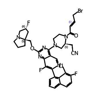 N#CC[C@H]1CN(c2nc(OC[C@@]34CCCN3C[C@H](F)C4)nc3c(F)c(-c4cccc5ccc(F)c(Cl)c45)ncc23)CCN1C(=O)/C=C/CBr